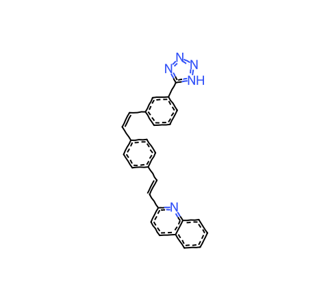 C(=Cc1ccc2ccccc2n1)c1ccc(/C=C\c2cccc(-c3nnn[nH]3)c2)cc1